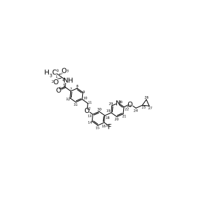 CS(=O)(=O)NC(=O)c1ccc(COc2ccc(F)c(-c3ccc(OCC4CC4)nc3)c2)cc1